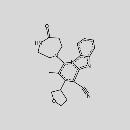 Cc1c(C2CCOC2)c(C#N)c2nc3ccccc3n2c1N1CCNC(=O)CC1